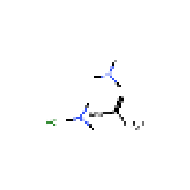 C=C(CCCC)C(=O)O.CN(C)C.CN(C)C.Cl